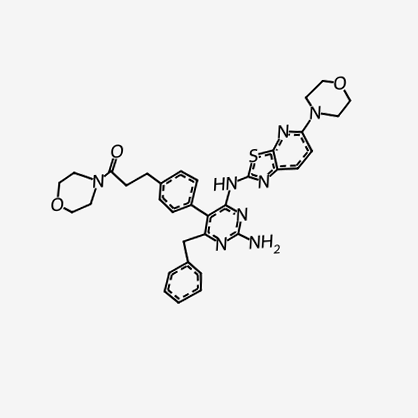 Nc1nc(Cc2ccccc2)c(-c2ccc(CCC(=O)N3CCOCC3)cc2)c(Nc2nc3ccc(N4CCOCC4)nc3s2)n1